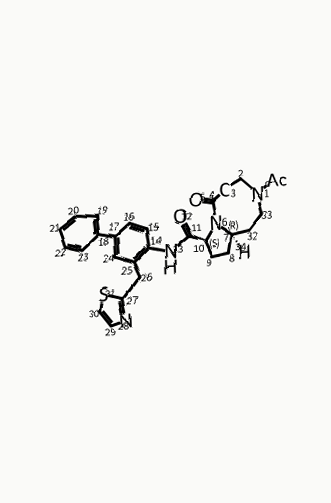 CC(=O)N1CCC(=O)N2[C@H](CC[C@H]2C(=O)Nc2ccc(-c3ccccc3)cc2Cc2nccs2)CC1